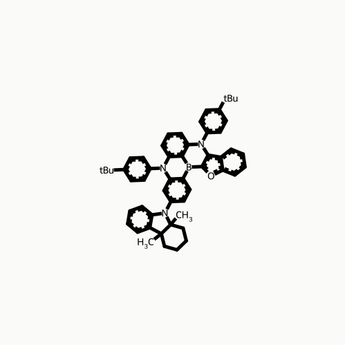 CC(C)(C)c1ccc(N2c3cc(N4c5ccccc5C5(C)CCCCC45C)ccc3B3c4oc5ccccc5c4N(c4ccc(C(C)(C)C)cc4)c4cccc2c43)cc1